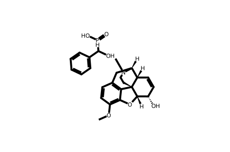 COc1ccc2c3c1O[C@H]1[C@@H](O)C=C[C@H]4[C@@H](C2)N(C)CC[C@@]341.O=[PH](O)C(O)c1ccccc1